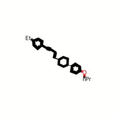 CCCOc1ccc([C@H]2CC[C@H](C=CC#Cc3ccc(CC)cc3)CC2)cc1